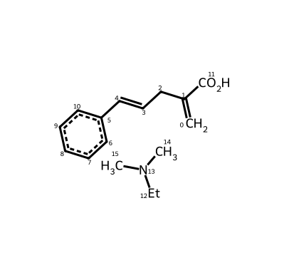 C=C(CC=Cc1ccccc1)C(=O)O.CCN(C)C